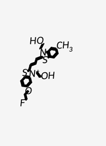 Cc1ccc2c(c1)N(CCO)/C(=C/C=C/c1sc3ccc(OCCF)cc3[n+]1CCO)S2